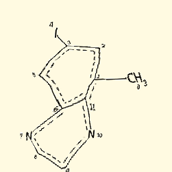 Cc1cc(I)cc2nccnc12